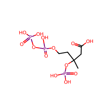 CC(CCOP(=O)(O)OP(=O)(O)O)(CC(=O)O)OP(=O)(O)O